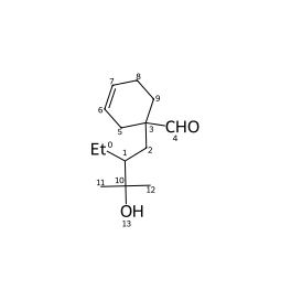 CCC(CC1(C=O)CC=CCC1)C(C)(C)O